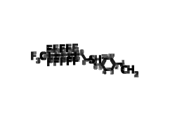 C=Cc1ccc(C[SH]=CCC(F)(F)C(F)(F)C(F)(F)C(F)(F)C(F)(F)C(F)(F)F)cc1